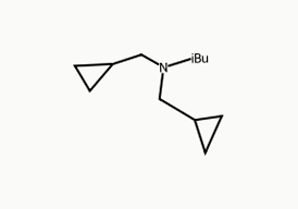 CCC(C)N(CC1CC1)CC1CC1